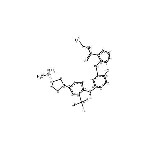 CCNC(=O)c1ccccc1Nc1nc(Nc2ccc(N3CC[C@H](N(C)C)C3)cc2C(F)(F)F)ncc1Cl